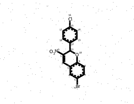 O=[N+]([O-])C1=Cc2cc(Br)ccc2OC1c1ccc(Cl)cc1